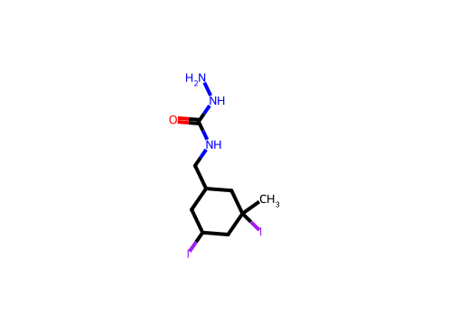 CC1(I)CC(I)CC(CNC(=O)NN)C1